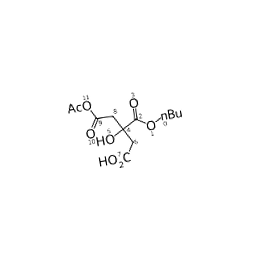 CCCCOC(=O)C(O)(CC(=O)O)CC(=O)OC(C)=O